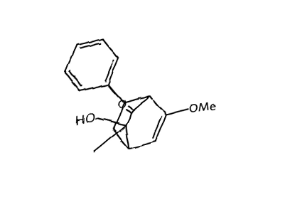 COC1=CC2CC(c3ccccc3)C1C(=O)C2(C)O